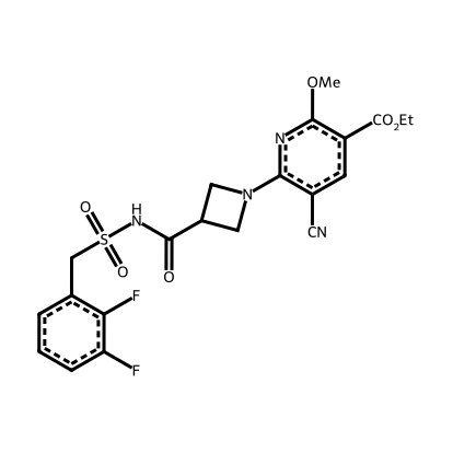 CCOC(=O)c1cc(C#N)c(N2CC(C(=O)NS(=O)(=O)Cc3cccc(F)c3F)C2)nc1OC